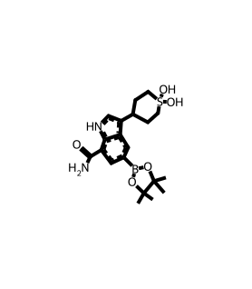 CC1(C)OB(c2cc(C(N)=O)c3[nH]cc(C4CCS(O)(O)CC4)c3c2)OC1(C)C